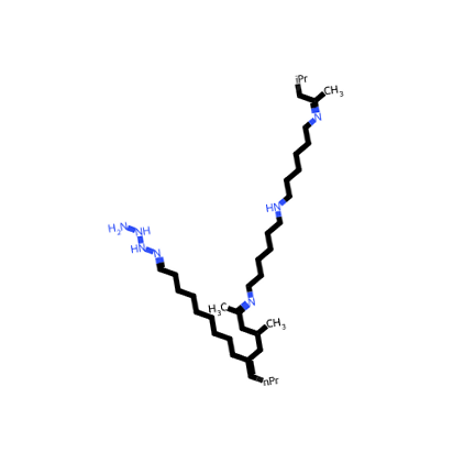 CCCC=C(CCCCCCCCC=NNNN)CC(C)CC(C)=NCCCCCCNCCCCCCN=C(C)CC(C)C